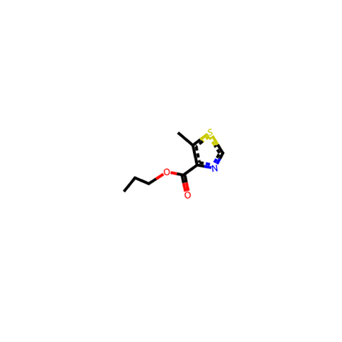 CCCOC(=O)c1ncsc1C